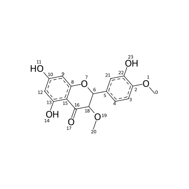 COc1ccc(C2Oc3cc(O)cc(O)c3C(=O)C2OC)cc1O